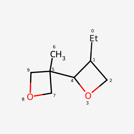 CCC1COC1C1(C)COC1